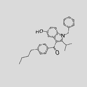 CCCCc1ccc(C(=O)c2c(C(C)C)n(Cc3ccccc3)c3ccc(O)cc23)cc1